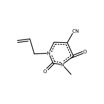 C=CCn1cc(C#N)c(=O)n(C)c1=O